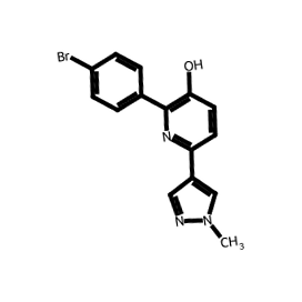 Cn1cc(-c2ccc(O)c(-c3ccc(Br)cc3)n2)cn1